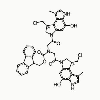 Cc1c[nH]c2c(O)cc3c(c12)[C@H](CCl)CN3C(=O)CN(CC(=O)N1C[C@@H](CCl)c2c1cc(O)c1[nH]cc(C)c21)C(=O)OCC1c2ccccc2-c2ccccc21